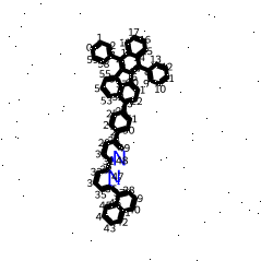 c1ccc(-c2c3c(c(-c4ccccc4)c4ccccc24)-c2ccc(-c4ccc(-c5ccc(-c6cccc(-c7cccc8ccccc78)n6)nc5)cc4)c4cccc-3c24)cc1